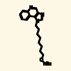 CCCCOCCCCCCCCn1cnc2cnc3ccccc3c21